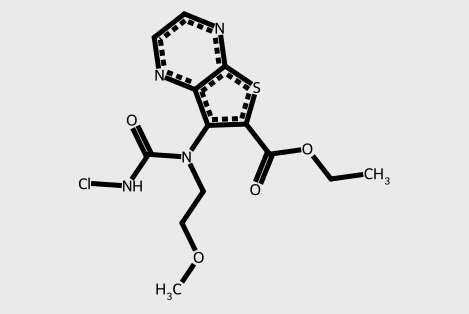 CCOC(=O)c1sc2nccnc2c1N(CCOC)C(=O)NCl